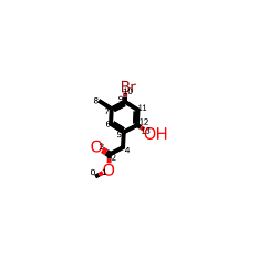 COC(=O)Cc1cc(C)c(Br)cc1O